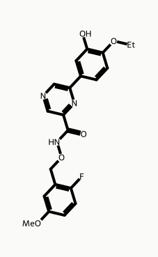 CCOc1ccc(-c2cncc(C(=O)NOCc3cc(OC)ccc3F)n2)cc1O